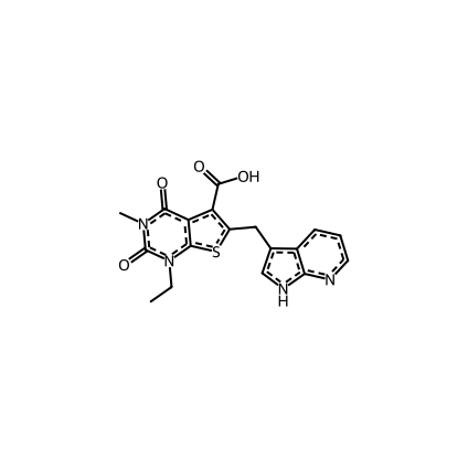 CCn1c(=O)n(C)c(=O)c2c(C(=O)O)c(Cc3c[nH]c4ncccc34)sc21